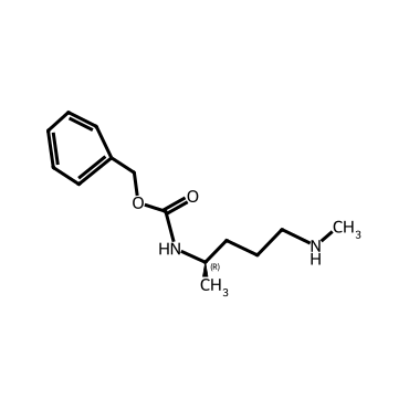 CNCCC[C@@H](C)NC(=O)OCc1ccccc1